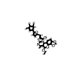 CCOC(=O)C1=C(C)N=c2s/c(=C\c3ccc(-c4cc(C)c(C)c(C)c4)o3)c(=O)n2C1c1ccc2c(c1)OCO2